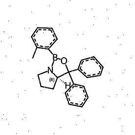 Cc1ccccc1B1OC(c2ccccc2)(c2ccccc2)[C@H]2CCCN12